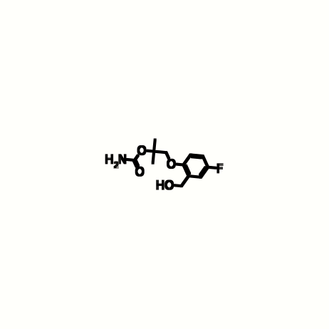 CC(C)(COc1ccc(F)cc1CO)OC(N)=O